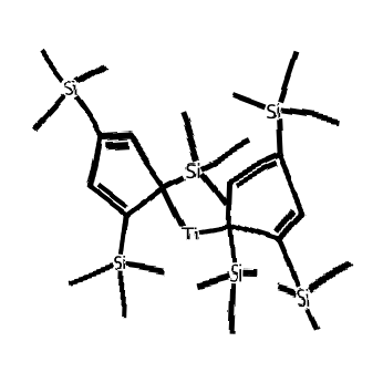 C[Si](C)(C)C1=C[C]([Ti][C]2([Si](C)(C)C)C=C([Si](C)(C)C)C=C2[Si](C)(C)C)([Si](C)(C)C)C([Si](C)(C)C)=C1